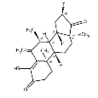 C=C1C2=C(S)C(=O)CC[C@]2(C)[C@H]2CC[C@]3(C)C(=O)[C@H](F)C[C@H]3[C@@H]2[C@@H]1C